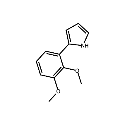 COc1cccc(-c2ccc[nH]2)c1OC